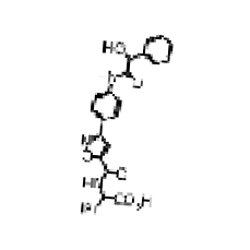 CC(C)C(NC(=O)c1cc(-c2ccc(NC(=O)C(O)c3ccccc3)cc2)no1)C(=O)O